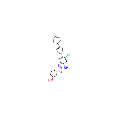 OC1CCC[C@@H](Oc2nc3nc(-c4ccc(-c5ccccc5)cc4)c(Cl)cc3[nH]2)C1